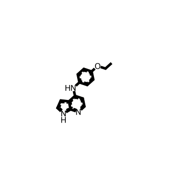 CCOc1ccc(Nc2ccnc3[nH]ccc23)cc1